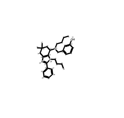 CCCCN(Cc1cccc(O)c1)C1CC(C)(C)Cc2nc(-c3ccccc3)n(CCCC)c21